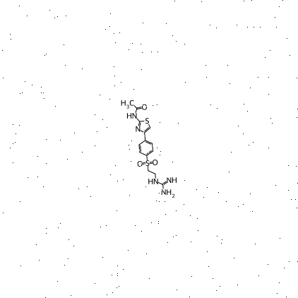 CC(=O)Nc1nc(-c2ccc(S(=O)(=O)CCNC(=N)N)cc2)cs1